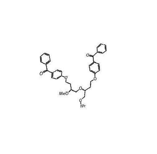 CCCOCC(CCOc1ccc(C(=O)c2ccccc2)cc1)OCC(CCOc1ccc(C(=O)c2ccccc2)cc1)OC